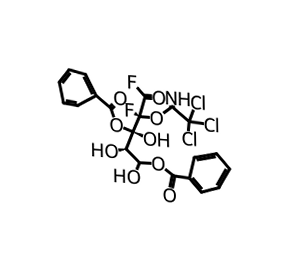 N=C(O[C@@](F)(C(=O)F)[C@@](O)(OC(=O)c1ccccc1)[C@H](O)C(O)OC(=O)c1ccccc1)C(Cl)(Cl)Cl